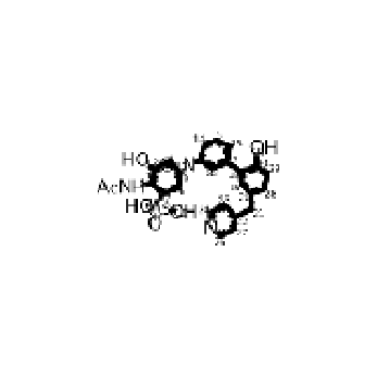 CC(=O)Nc1c(O)cccc1[As](=O)(O)O.O=[N+]([O-])c1cccc(-c2cc(Cc3ccncc3)ccc2O)c1